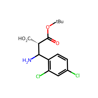 CC(C)(C)OC(=O)[C@@H](C(=O)O)C(N)c1ccc(Cl)cc1Cl